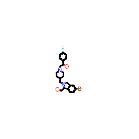 O=CC1c2ccc(Br)cc2CN1CC1CCN(CC(=O)c2ccc(F)cc2)CC1